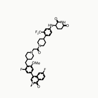 COc1cc(-c2cn(C)c(=O)c3ccc(F)cc23)cc(F)c1CC1CCN(CC(=O)N2CCC(c3ccc(NC4CCC(=O)NC4=O)cc3C(F)(F)F)CC2)CC1